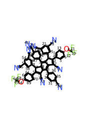 N#CC1=C(c2ccc(OC(F)(F)F)cc2)C(c2cc(C#N)cc(C#N)c2)c2c1c(-c1ccc(C#N)cc1)c1c(c2-c2ccc(C#N)cc2)C(c2cc(C#N)cc(C#N)c2)C(c2ccc(OC(F)(F)F)cc2)=C1C#N